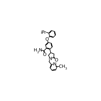 Cc1cccc(CN2CC(c3ccc(Oc4ccccc4C(C)C)cc3C(N)=O)CC2=O)n1